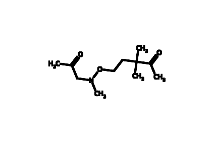 CC(=O)CN(C)OCCC(C)(C)C(C)=O